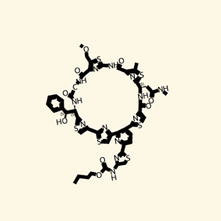 CCCCOC(=O)NC1CSC(c2ccc3c(n2)-c2csc(n2)-c2csc(n2)[C@H]([C@@H](O)c2ccccc2)NC(=O)CNC(=O)c2nc(sc2COC)NC(=O)c2nc(sc2C)[C@H](CC(=O)NC)NC(=O)c2csc-3n2)=N1